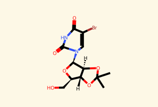 CC1(C)O[C@H]2[C@H](O1)[C@@H](CO)O[C@H]2n1cc(Br)c(=O)[nH]c1=O